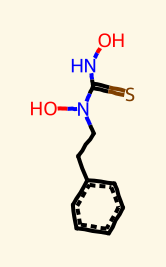 ONC(=S)N(O)CCc1ccccc1